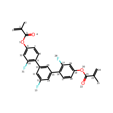 C=C(C)C(=O)Oc1ccc(-c2cc(F)cc(-c3ccc(OC(=O)C(=C)C)cc3F)c2)c(F)c1